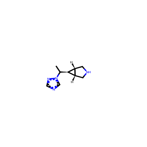 CC([C@H]1[C@@H]2CNC[C@@H]21)n1cncn1